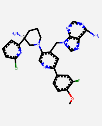 COc1ccc(-c2cc(Cn3cnc4c(N)ncnc43)c(N3CCC[C@](N)(c4cccc(Cl)n4)C3)cn2)cc1F